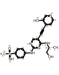 C[C@H](CO)Nc1nc(Nc2ccc(S(C)(=N)=O)cc2)ncc1C#Cc1ccncc1O